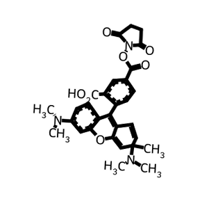 CN(C)c1ccc2c(c1)OC1=CC(C)(N(C)C)C=CC1=C2c1ccc(C(=O)ON2C(=O)CCC2=O)cc1C(=O)O